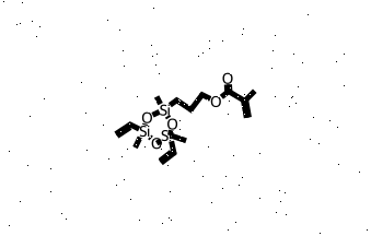 C=C[Si]1(C)O[Si](C)(C=C)O[Si](C)(CCCOC(=O)C(=C)C)O1